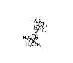 CCN(CC)C(=O)[C@@H](OC(=O)/C=C/C(=O)O[C@H](C(=O)N(CC)CC)C(C)C)C(C)C